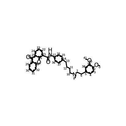 COc1ccc(CCN(C)CCCCc2ccc(NC(=O)c3cccc4c(=O)c5ccccc5oc34)cc2)cc1OC